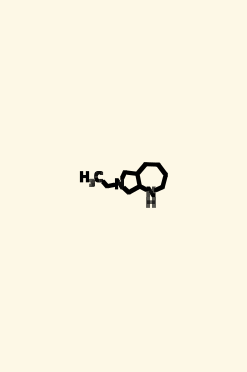 CCN1CC2CCCCNC2C1